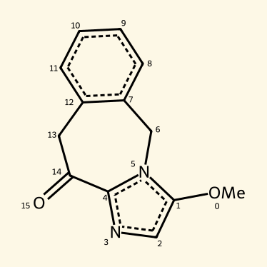 COc1cnc2n1Cc1ccccc1CC2=O